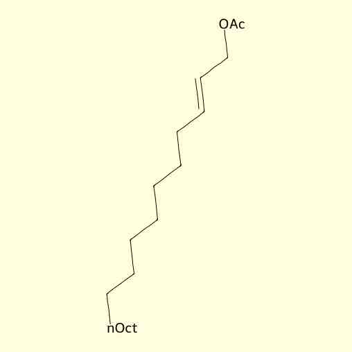 CCCCCCCCCCCCCCCC=CCOC(C)=O